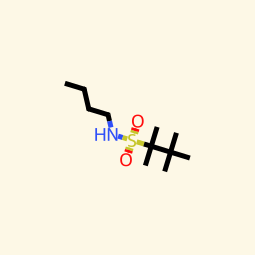 CCCCNS(=O)(=O)C(C)(C)C(C)(C)C